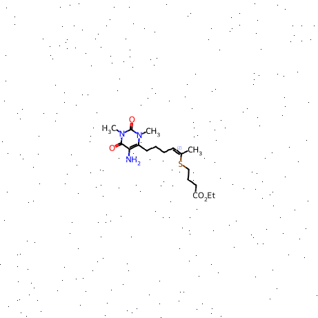 CCOC(=O)CCCS/C(C)=C\CCCc1c(N)c(=O)n(C)c(=O)n1C